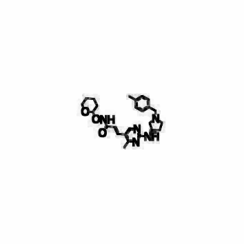 Cc1ccc(CN2CC[C@@H](Nc3ncc(C=CC(=O)NOC4CCCCO4)c(C)n3)C2)cc1